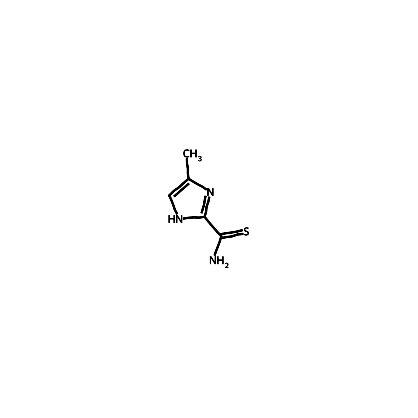 Cc1c[nH]c(C(N)=S)n1